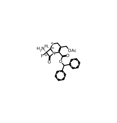 CC(=O)OCC1=C(C(=O)OC(c2ccccc2)c2ccccc2)N2C(=O)[C@@](N)(F)[C@H]2SC1